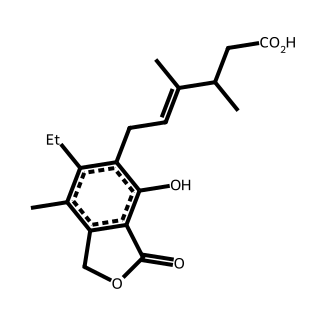 CCc1c(C)c2c(c(O)c1C/C=C(\C)C(C)CC(=O)O)C(=O)OC2